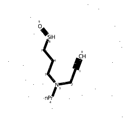 C#CCN(CCC)CCC[SiH]=O